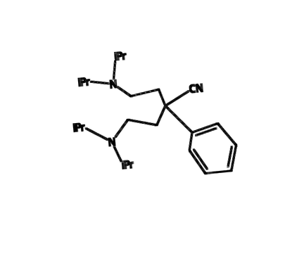 CC(C)N(CCC(C#N)(CCN(C(C)C)C(C)C)c1ccccc1)C(C)C